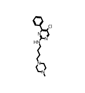 CN1CCN(CCCCNc2ncc(Cl)c(-c3ccccc3)n2)CC1